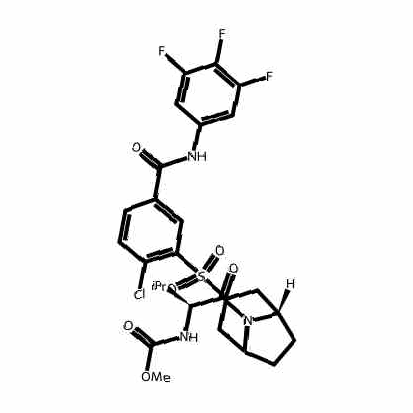 COC(=O)N[C@H](C(=O)N1C2CC[C@H]1CC(S(=O)(=O)c1cc(C(=O)Nc3cc(F)c(F)c(F)c3)ccc1Cl)C2)C(C)C